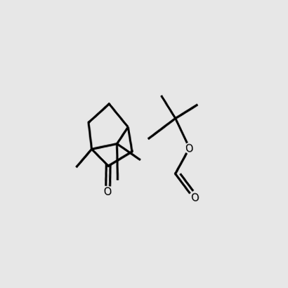 CC(C)(C)OC=O.CC12CCC(CC1=O)C2(C)C